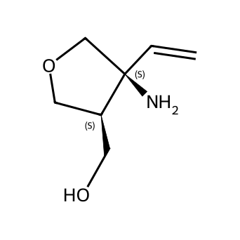 C=C[C@@]1(N)COC[C@@H]1CO